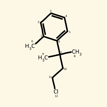 Cc1ccccc1C(C)(C)CCCl